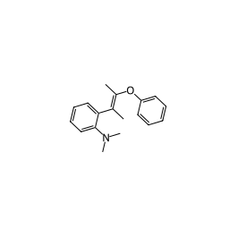 CC(Oc1ccccc1)=C(C)c1ccccc1N(C)C